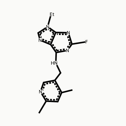 CCn1cnc2c(NCc3cnc(C)cc3C)nc(F)nc21